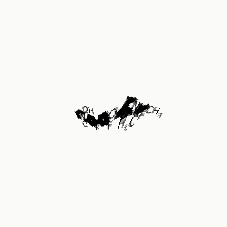 CCC(F)(CC)CN1CCC(COc2ccc(-c3ccc(C(=O)N4CCC[C@@H]4CO)cc3F)cc2F)CC1